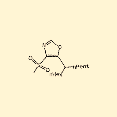 CCCCCCC(CCCCC)c1ocnc1S(C)(=O)=O